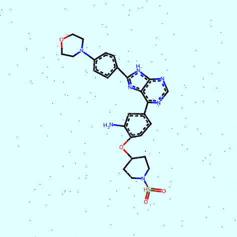 Nc1cc(-c2ncnc3[nH]c(-c4ccc(N5CCOCC5)cc4)nc23)ccc1OC1CCN([SH](=O)=O)CC1